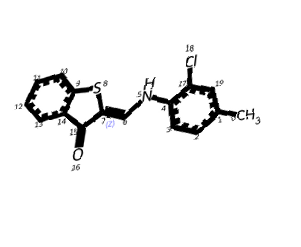 Cc1ccc(N/C=C2\Sc3ccccc3C2=O)c(Cl)c1